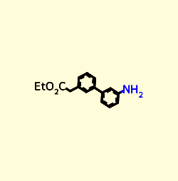 CCOC(=O)Cc1cccc(-c2cccc(N)c2)c1